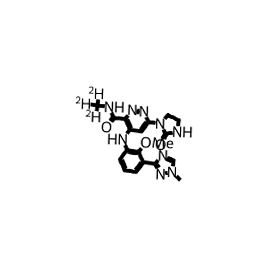 [2H]C([2H])([2H])NC(=O)c1nnc(N2CCNC2=O)cc1Nc1cccc(-c2ncn(C)n2)c1OC